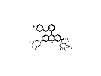 CCN(CC)c1ccc2c(c1)OC1=CC(C)(N(CC)CC)C=CC1=C2c1ccccc1CN1CCNCC1